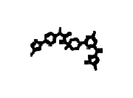 Cc1cc(Nc2cc(C)[nH]n2)nc(N2CCC(C)(NC(=O)C(C)c3ccc(-n4cc(F)cn4)nc3)CC2)n1